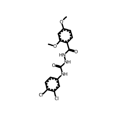 COc1ccc(C(=O)NNC(=O)Nc2ccc(Cl)c(Cl)c2)c(OC)c1